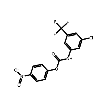 O=C(Nc1cc(Cl)cc(C(F)(F)F)c1)Oc1ccc([N+](=O)[O-])cc1